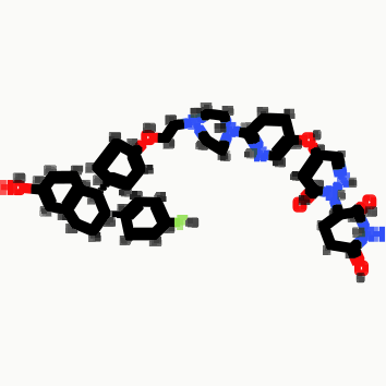 O=C1CCC(n2ncc(Oc3ccc(N4CCN(CCOc5ccc([C@H]6c7ccc(O)cc7CC[C@H]6c6ccc(F)cc6)cc5)CC4)nc3)cc2=O)C(=O)N1